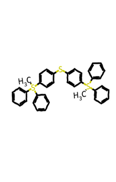 CS(c1ccccc1)(c1ccccc1)c1ccc(Sc2ccc(S(C)(c3ccccc3)c3ccccc3)cc2)cc1